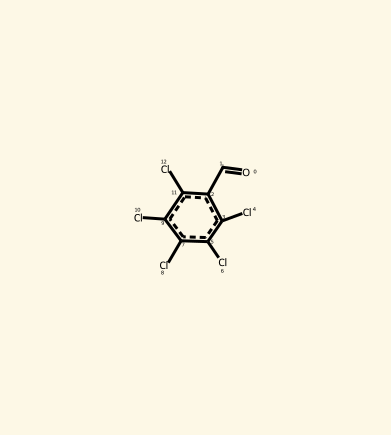 O=[C]c1c(Cl)c(Cl)c(Cl)c(Cl)c1Cl